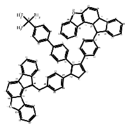 PC(P)(P)c1ccc(-c2ccc(C3C(c4ccc(C5c6ccccc6C6C=Cc7oc8ccccc8c7C65)cc4)=CCC3c3ccc(CC4c5ccccc5-c5ccc6oc7ccccc7c6c54)cc3)cc2)cc1